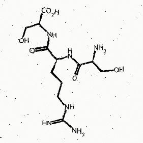 N=C(N)NCCC[C@H](NC(=O)[C@@H](N)CO)C(=O)N[C@@H](CO)C(=O)O